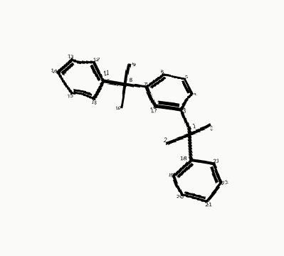 CC(C)(c1[c]ccc(C(C)(C)c2ccccc2)c1)c1ccccc1